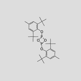 Cc1cc(C(C)(C)C)c(OP2OP(Oc3c(C(C)(C)C)cc(C)cc3C(C)(C)C)O2)c(C(C)(C)C)c1